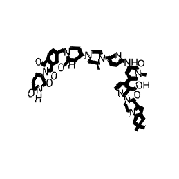 C[C@H]1CN([C@H]2CCN3Cc4ccc5c(c4OC[C@@H]3C2)C(=O)N(C2CCC(=O)NC2=O)C5=O)CCN1c1ccc(Nc2cc(-c3ccnc(N4CCn5c(cc6c5CC(C)(C)C6)C4=O)c3CO)cn(C)c2=O)nc1